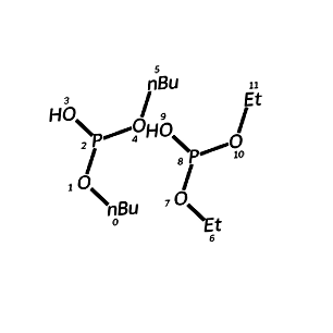 CCCCOP(O)OCCCC.CCOP(O)OCC